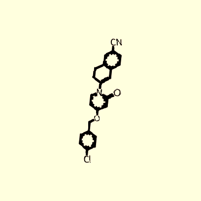 N#Cc1ccc2c(c1)CCC(n1ccc(OCc3ccc(Cl)cc3)cc1=O)=C2